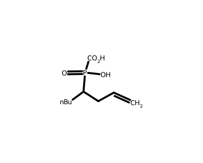 C=CCC(CCCC)P(=O)(O)C(=O)O